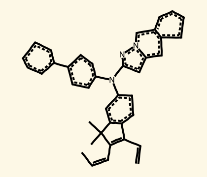 C=CC1=C(/C=C\C)C(C)(C)c2cc(N(c3ccc(-c4ccccc4)cc3)c3cc4cc5ccccc5cn4n3)ccc21